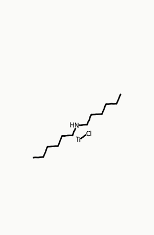 CCCCCCNCCCCCC.[Cl][Ti]